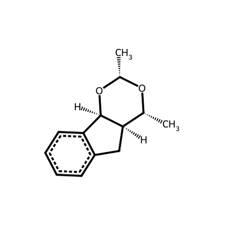 C[C@H]1O[C@@H]2c3ccccc3C[C@@H]2[C@@H](C)O1